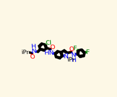 CC(C)C(=O)NCc1ccc(Cl)c(C(=O)Nc2ccc3c(c2)cc(C(=O)Nc2ccc(F)cc2F)n3C(C)C)c1